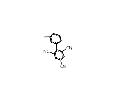 Cc1cccc(-c2c(C#N)cc(C#N)cc2C#N)c1